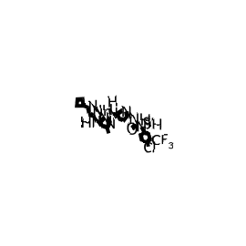 Cc1cc(Nc2cc(C3CCC3)n[nH]2)nc(Nc2ccc(NC(=O)N(S)c3ccc(Cl)c(C(F)(F)F)c3)nc2)n1